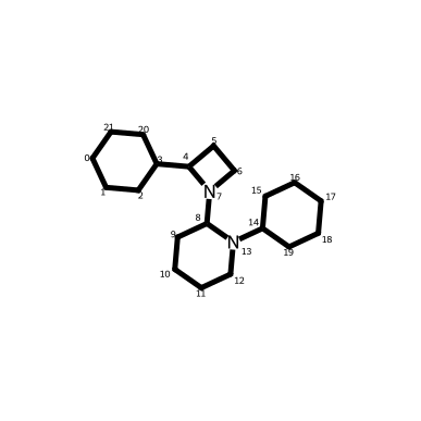 C1CCC(C2CCN2C2CCCCN2C2CCCCC2)CC1